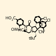 C#CCN1[C@@H](CC(C)(C)C)[C@](C#N)(c2ccc(Cl)cc2F)[C@@H](c2cccc(Cl)c2F)[C@@H]1C(=O)Nc1ccc(C(=O)O)cc1OC